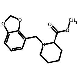 COC(=O)[C@H]1CCCCN1Cc1cccc2c1OCO2